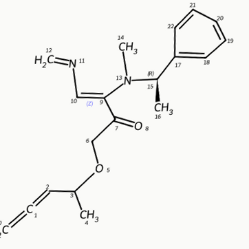 C=C=CC(C)OCC(=O)/C(=C/N=C)N(C)[C@H](C)c1ccccc1